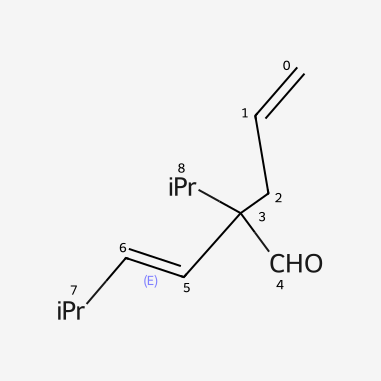 C=CCC(C=O)(/C=C/C(C)C)C(C)C